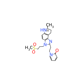 C[C@H]1CCc2c(ccc3c2nc(CCn2ccccc2=O)n3CCCS(C)(=O)=O)N1